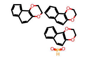 O=[PH]=O.c1ccc2c3c(ccc2c1)OCCO3.c1ccc2c3c(ccc2c1)OCCO3.c1ccc2c3c(ccc2c1)OCCO3